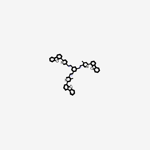 Cc1cc(-c2cccc3c2oc2ccccc23)ncc1/C=C/c1cc(/C=C/c2ccc(-c3cccc4c3oc3ccccc34)nc2)cc(/C=C/c2cnc(-c3cccc4c3oc3ccccc34)cc2C)c1